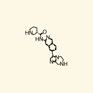 O=C(Nc1cc2cc(-c3cnc4n3CCNC4)ccc2cn1)[C@@H]1CCCNC1